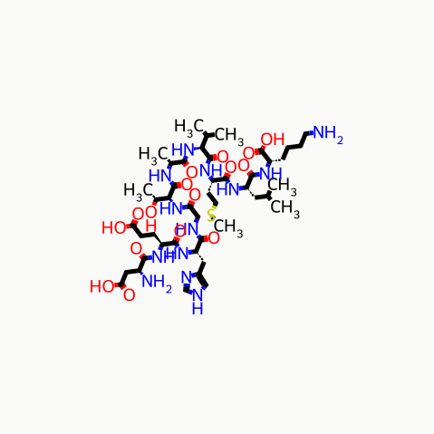 CSCC[C@H](NC(=O)[C@@H](NC(=O)[C@H](C)NC(=O)[C@@H](NC(=O)CNC(=O)[C@H](Cc1c[nH]cn1)NC(=O)[C@H](CCC(=O)O)NC(=O)[C@@H](N)CC(=O)O)[C@@H](C)O)C(C)C)C(=O)N[C@@H](CC(C)C)C(=O)N[C@@H](CCCCN)C(=O)O